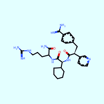 N=C(N)NCCCC(NC(=O)[C@@H](NC(=O)[C@@H](Cc1ccc(C(=N)N)cc1)c1cccnc1)C1CCCCC1)C(N)=O